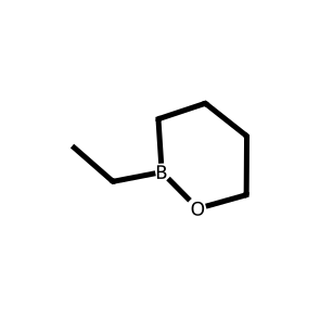 CCB1CCCCO1